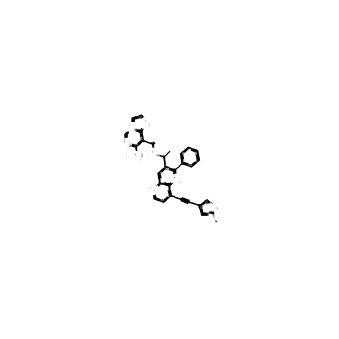 CC(NC(=O)c1c(N)ncn2ccnc12)c1cc2nccc(C#Cc3cnn(C)c3)c2nc1-c1ccccc1